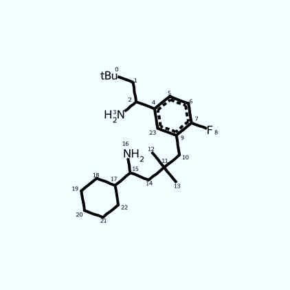 CC(C)(C)CC(N)c1ccc(F)c(CC(C)(C)CC(N)C2CCCCC2)c1